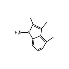 Cc1cccc2c1c(C)c(C)n2N